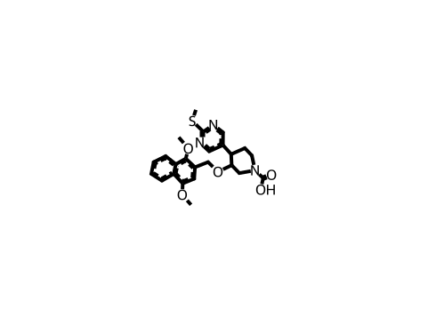 COc1cc(COC2CN(C(=O)O)CCC2c2cnc(SC)nc2)c(OC)c2ccccc12